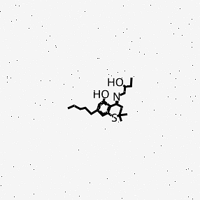 CCCCCc1cc(O)c2c(c1)SC(C)(C)CC2=NCC(O)CC